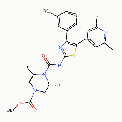 Cc1cc(-c2sc(NC(=O)N3C(C)CN(C(=O)OC(C)(C)C)C[C@H]3C)nc2-c2cccc(C#N)c2)cc(C)n1